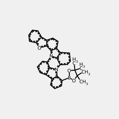 CC1(C)OB(c2cccc3c4cccc5c4n(c4cccc6c7ccc8c9ccccc9oc8c7n5c64)c23)OC1(C)C